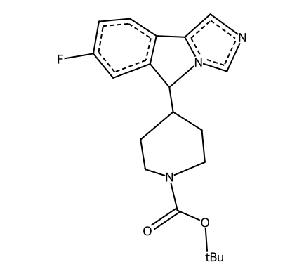 CC(C)(C)OC(=O)N1CCC(C2c3cc(F)ccc3-c3cncn32)CC1